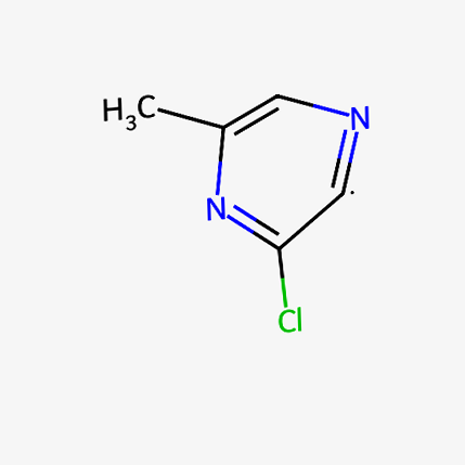 Cc1cn[c]c(Cl)n1